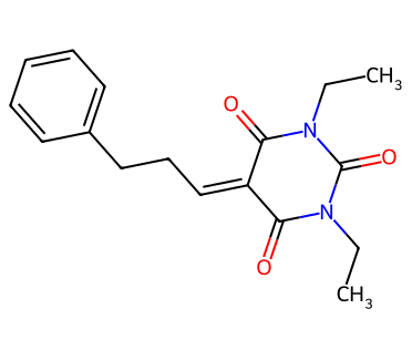 CCN1C(=O)C(=CCCc2ccccc2)C(=O)N(CC)C1=O